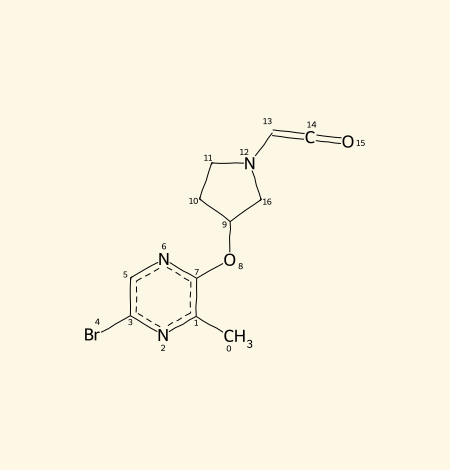 Cc1nc(Br)cnc1OC1CCN(C=C=O)C1